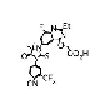 CCc1nc(OCC(=O)O)c2cc(N3C(=S)N(c4ccc(C#N)c(C(F)(F)F)c4)C(=O)C3(C)C)cc(F)c2n1